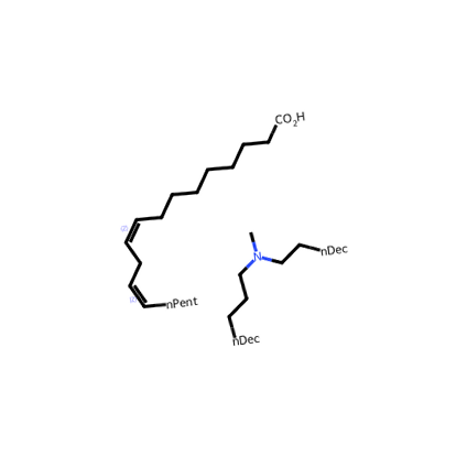 CCCCC/C=C\C/C=C\CCCCCCCC(=O)O.CCCCCCCCCCCCCN(C)CCCCCCCCCCCC